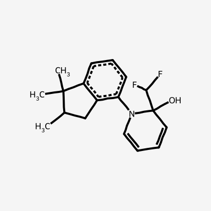 CC1Cc2c(N3C=CC=CC3(O)C(F)F)cccc2C1(C)C